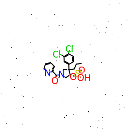 CCC(C1(c2ccc(Cl)c(Cl)c2)CCN(C(=O)c2ccccn2)C1)S(=O)(=O)O